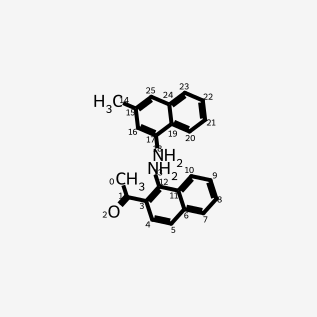 CC(=O)c1ccc2ccccc2c1N.Cc1cc(N)c2ccccc2c1